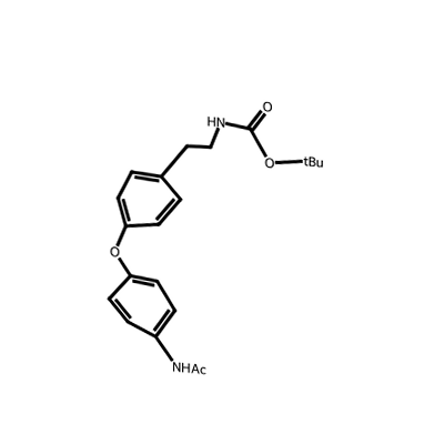 CC(=O)Nc1ccc(Oc2ccc(CCNC(=O)OC(C)(C)C)cc2)cc1